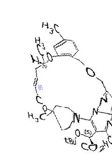 Cc1ccc2c(c1)O[C@@H](C)C/C=C/COC1(C)CCN(CC1)c1c([C@H](OC(C)(C)C)C(=O)O)c(C)nc3cc(nn13)COC2